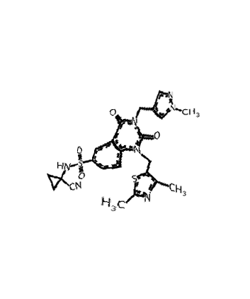 Cc1nc(C)c(Cn2c(=O)n(Cc3cnn(C)c3)c(=O)c3cc(S(=O)(=O)NC4(C#N)CC4)ccc32)s1